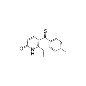 CCc1[nH]c(=O)ccc1C(=S)c1ccc(C)cc1